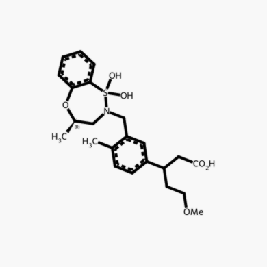 COCCC(CC(=O)O)c1ccc(C)c(CN2C[C@@H](C)Oc3ccccc3S2(O)O)c1